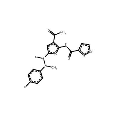 CN(c1ccc(F)cc1)[S+]([O-])c1cc(C(N)=O)c(NC(=O)c2cc[nH]n2)s1